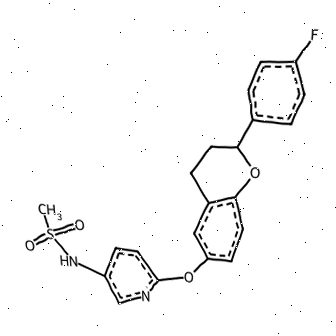 CS(=O)(=O)Nc1ccc(Oc2ccc3c(c2)CCC(c2ccc(F)cc2)O3)nc1